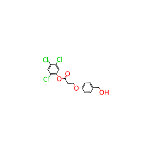 O=C(CCOc1ccc(CO)cc1)Oc1cc(Cl)c(Cl)cc1Cl